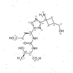 C[C@@H](O)[C@H](NC(=O)N[C@@H](CCC(=O)O)c1nc(C2(N)CC(CO)C2)no1)C(=O)O